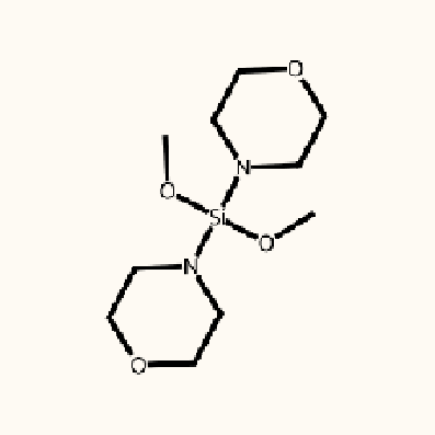 CO[Si](OC)(N1CCOCC1)N1CCOCC1